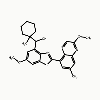 COc1cc(C(O)C2(C)CCCCC2)c2nc(-c3cc(C)cc4nc(OC)cnc34)sc2c1